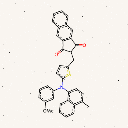 COc1cccc(N(c2ccc(CC3C(=O)c4cc5ccccc5cc4C3=O)s2)c2ccc(C)c3ccccc23)c1